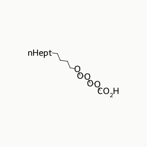 CCCCCCCCCCCOOOOOC(=O)O